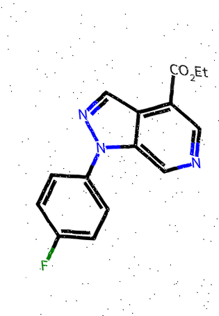 CCOC(=O)c1cncc2c1cnn2-c1ccc(F)cc1